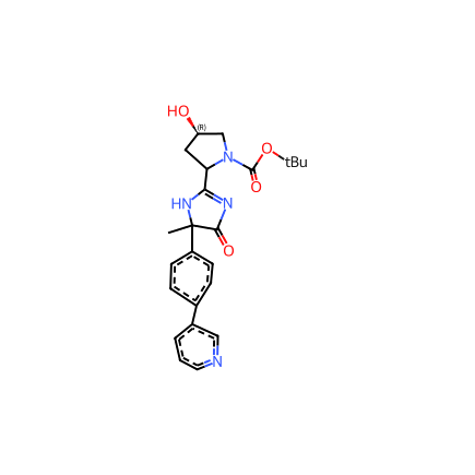 CC(C)(C)OC(=O)N1C[C@H](O)CC1C1=NC(=O)C(C)(c2ccc(-c3cccnc3)cc2)N1